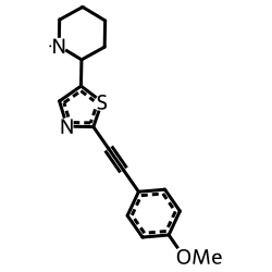 COc1ccc(C#Cc2ncc(C3CCCC[N]3)s2)cc1